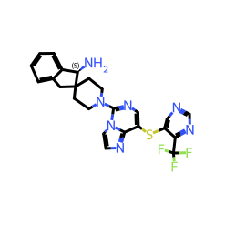 N[C@@H]1c2ccccc2CC12CCN(c1ncc(Sc3cncnc3C(F)(F)F)c3nccn13)CC2